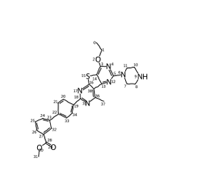 CCOc1nc(N2CCNCC2)nc2c1sc1nc(-c3ccc(-c4cccc(C(=O)OC)c4)cc3)nc(C)c12